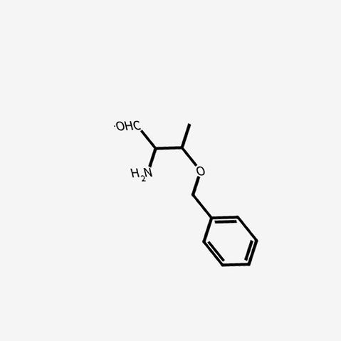 CC(OCc1ccccc1)C(N)[C]=O